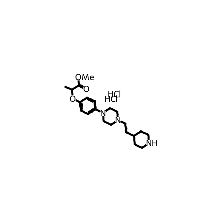 COC(=O)C(C)Oc1ccc(N2CCN(CCC3CCNCC3)CC2)cc1.Cl.Cl